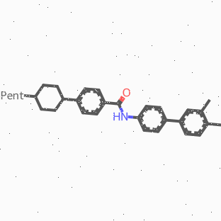 CCCC(C)C1CCC(c2ccc(C(=O)Nc3ccc(-c4ccc(C)c(C)c4)cc3)cc2)CC1